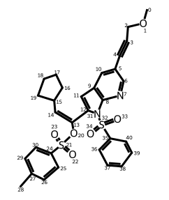 COCC#Cc1cnc2c(c1)cc(C(=CC1CCCC1)OS(=O)(=O)c1ccc(C)cc1)n2S(=O)(=O)c1ccccc1